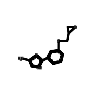 FC(F)(F)c1c[nH]c(-c2cccc(OCC3CO3)c2)n1